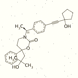 C[C@@H](c1ccc(C#CC2(O)CCCC2)cc1)N1CCC(CC(C)(C)O)(c2ccccc2)OC1=O